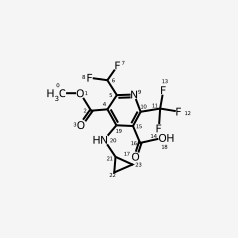 COC(=O)c1c(C(F)F)nc(C(F)(F)F)c(C(=O)O)c1NC1CC1